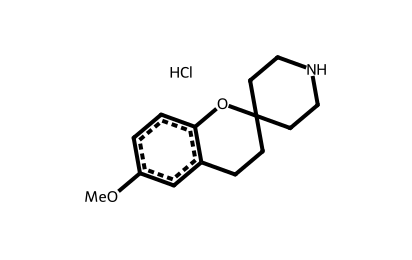 COc1ccc2c(c1)CCC1(CCNCC1)O2.Cl